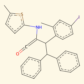 Cc1ccc(NC(=C=O)C(c2ccc(I)cc2C)C(c2ccccc2)c2ccccc2)s1